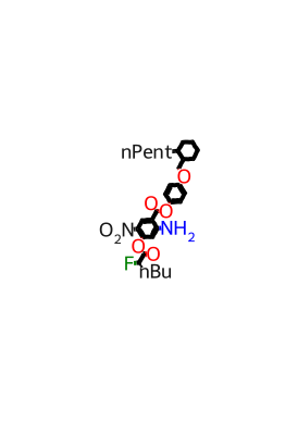 CCCCCC1CCCCC1COc1ccc(OC(=O)c2cc([N+](=O)[O-])c(OC(=O)[C@H](F)CCCC)cc2N)cc1